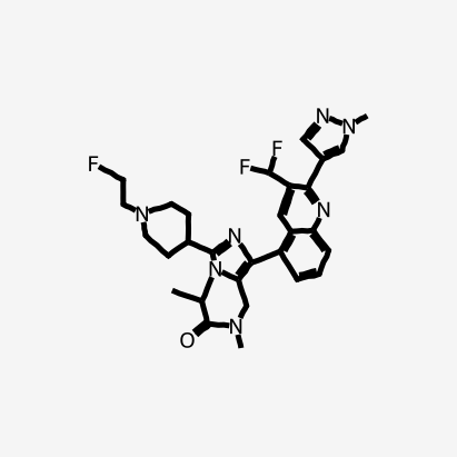 CC1C(=O)N(C)Cc2c(-c3cccc4nc(-c5cnn(C)c5)c(C(F)F)cc34)nc(C3CCN(CCF)CC3)n21